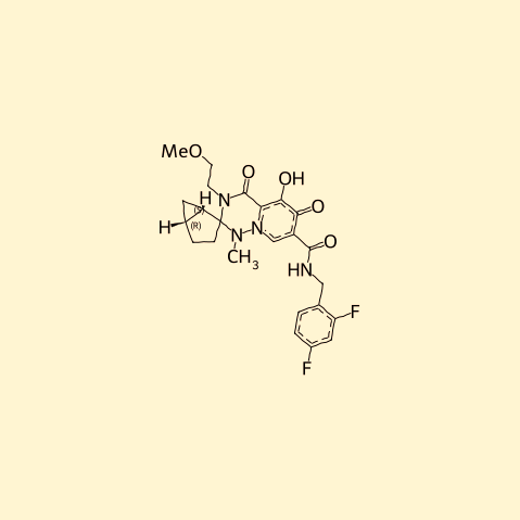 COCCN1C(=O)c2c(O)c(=O)c(C(=O)NCc3ccc(F)cc3F)cn2N(C)C12CC[C@@H]1C[C@@H]12